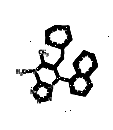 CC1=C(Cc2ccccc2)C(c2cccc3ccccc23)n2nnnc2N1C